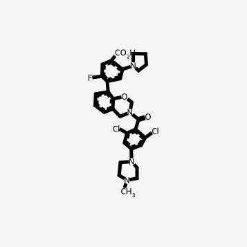 CN1CCN(c2cc(Cl)c(C(=O)N3COc4c(cccc4-c4cc(N5CCCC5)c(C(=O)O)cc4F)C3)c(Cl)c2)CC1